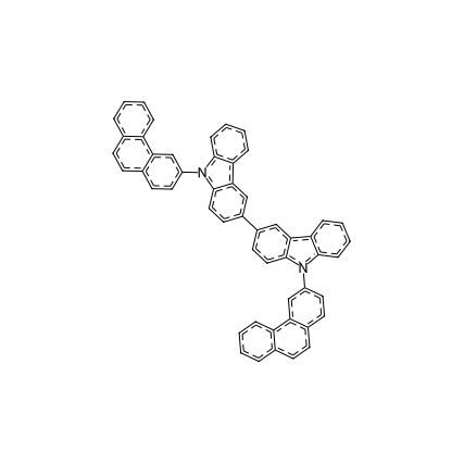 c1ccc2c(c1)ccc1ccc(-n3c4ccccc4c4cc(-c5ccc6c(c5)c5ccccc5n6-c5ccc6ccc7ccccc7c6c5)ccc43)cc12